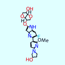 COc1nc(N2CC[C@@H](O)C2)ccc1-c1nc2cc(O[C@@H]3CO[C@H]4[C@@H]3OC[C@H]4O)[nH]c2cc1F